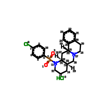 Cl.O=S(=O)(c1ccc(Cl)cc1)N1CCC[C@@H]2CN3CCc4ccccc4[C@H]3C[C@@H]21